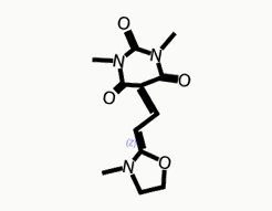 CN1C(=O)C(=C/C=C2\OCCN2C)C(=O)N(C)C1=O